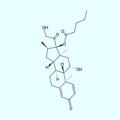 CCCCC(=O)O[C@]1(C(=O)CO)[C@H](C)C[C@H]2[C@@H]3CCC4=CC(=O)C=C[C@]4(C)[C@@]3(Cl)[C@@H](O)C[C@@]21C